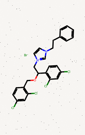 Clc1ccc(COC(C[n+]2ccn(CCc3ccccc3)c2)c2ccc(Cl)cc2Cl)c(Cl)c1.[Br-]